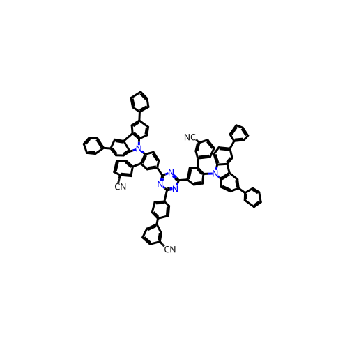 N#Cc1cccc(-c2ccc(-c3nc(-c4ccc(-n5c6ccc(-c7ccccc7)cc6c6cc(-c7ccccc7)ccc65)c(-c5cccc(C#N)c5)c4)nc(-c4ccc(-n5c6ccc(-c7ccccc7)cc6c6cc(-c7ccccc7)ccc65)c(-c5cccc(C#N)c5)c4)n3)cc2)c1